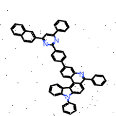 c1ccc(-c2cc(-c3ccc4ccccc4c3)nc(-c3ccc(-c4ccc5c(c4)nc(-c4ccccc4)c4ccc6c(c7ccccc7n6-c6ccccc6)c45)cc3)n2)cc1